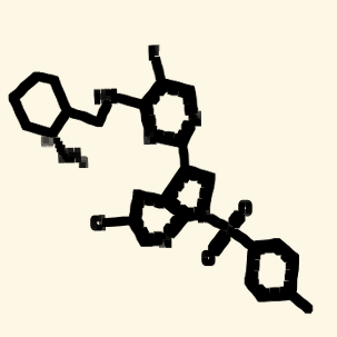 Cc1ccc(S(=O)(=O)n2cc(-c3ncc(F)c(NCC4CCCC[C@H]4N)n3)c3cc(Cl)cnc32)cc1